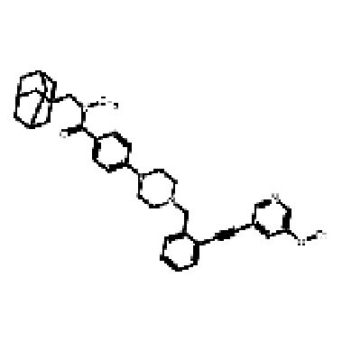 CCOc1cncc(C#Cc2ccccc2CN2CCN(c3ccc(C(=O)N(C)CC45CC6CC(CC(C6)C4)C5)cc3)CC2)c1